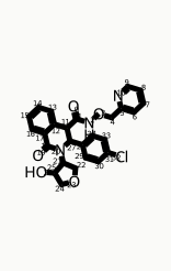 O=C(NOCc1ccccn1)C1c2ccccc2C(=O)N(C2COCC2O)C1c1ccc(Cl)cc1